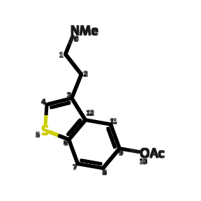 CNCCc1csc2ccc(OC(C)=O)cc12